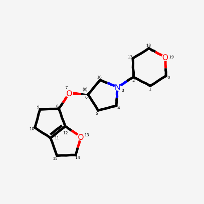 C1CC(N2CC[C@@H](OC3CCC4=C3OCC4)C2)CCO1